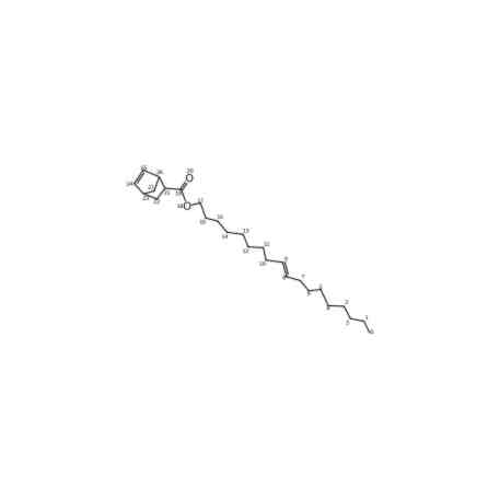 CCCCCCCCC=CCCCCCCCCOC(=O)C1CC2C=CC1C2